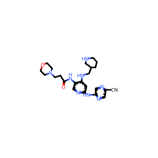 N#Cc1cnc(Nc2cc(NCC3CCCNC3)c(NC(=O)CCN3CCOCC3)cn2)cn1